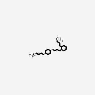 C/C=C/CC[C@H]1CC[C@H](CCCCC2CCCCC2/C=C/CC)CC1